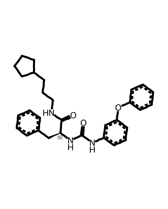 O=C(Nc1cccc(Oc2ccccc2)c1)N[C@@H](Cc1ccccc1)C(=O)NCCCC1CCCC1